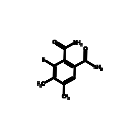 NC(=O)c1cc(C(F)(F)F)c(C(F)(F)F)c(F)c1C(N)=O